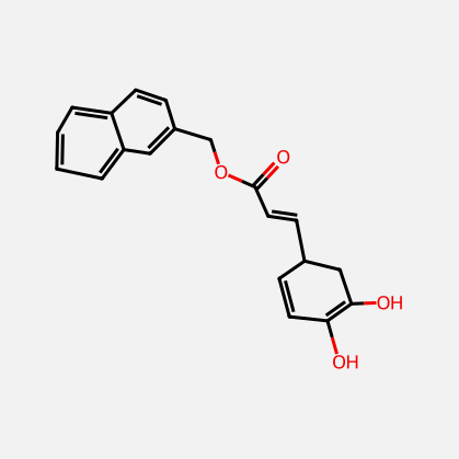 O=C(C=CC1C=CC(O)=C(O)C1)OCc1ccc2ccccc2c1